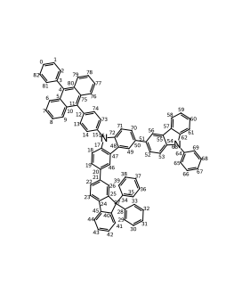 c1ccc(-c2c3ccccc3c(-c3ccc(-n4c5ccc(-c6ccc7c(c6)C(c6ccccc6)(c6ccccc6)c6ccccc6-7)cc5c5cc(-c6ccc7c(c6)c6ccccc6n7-c6ccccc6)ccc54)cc3)c3ccccc23)cc1